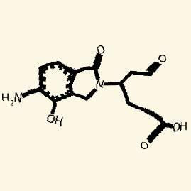 Nc1ccc2c(c1O)CN(C(CC=O)CCC(=O)O)C2=O